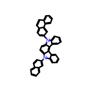 c1ccc2cc(-n3c4ccccc4c4c5c6ccccc6n(-c6ccc7ccc8ccccc8c7c6)c5ccc43)ccc2c1